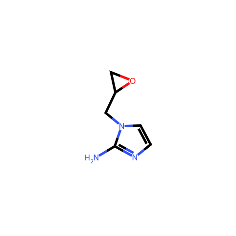 Nc1nccn1CC1CO1